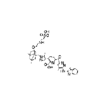 Cc1cc(C(=O)c2ccc(-c3cnn(CC45CC6(C)CC(C)(C4)CC(OCCNCCS(=O)(=O)O)(C6)C5)c3C)c(C(=O)O)n2)nnc1Nc1nc2ccccc2s1